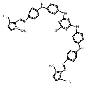 Cn1cc[n+](C)c1/N=N/c1ccc(Nc2ccc(Nc3nc(Cl)nc(Nc4ccc(Nc5ccc(/N=N/c6n(C)cc[n+]6C)cc5)cc4)n3)cc2)cc1